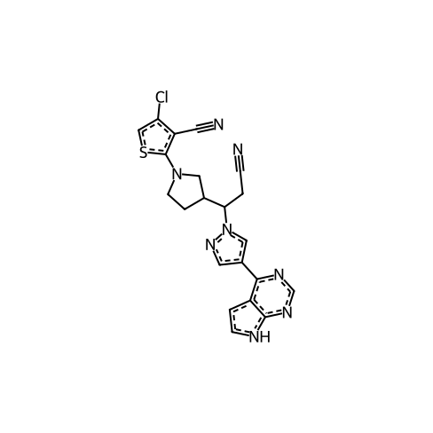 N#CCC(C1CCN(c2scc(Cl)c2C#N)C1)n1cc(-c2ncnc3[nH]ccc23)cn1